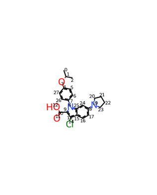 CC(C)Oc1ccc(-n2c(C(=O)O)c(Cl)c3ccc(N4CCCC4)cc32)cc1